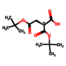 CC(C)(C)OC(=O)C[C@@H](C(=O)O)C(=O)OC(C)(C)C